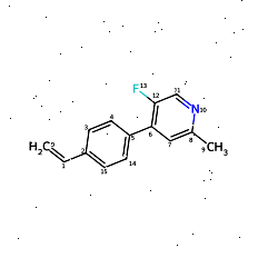 C=Cc1ccc(-c2cc(C)ncc2F)cc1